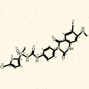 CNc1cc2[nH]c(=O)n(-c3ccc(NC(=O)N[SH](C)(=O)c4ccc(Cl)s4)cc3)c(=O)c2cc1F